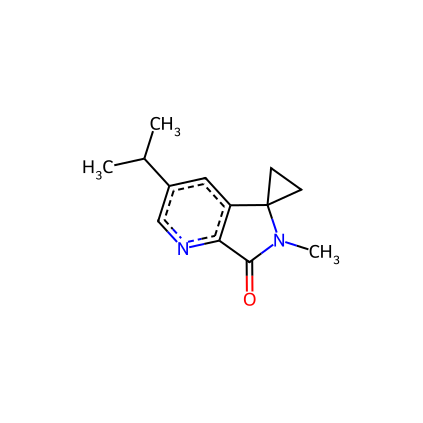 CC(C)c1cnc2c(c1)C1(CC1)N(C)C2=O